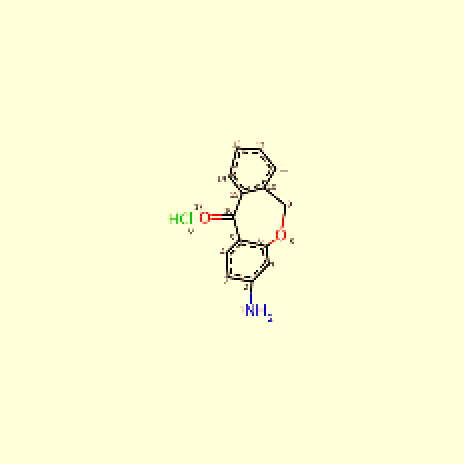 Cl.Nc1ccc2c(c1)OCc1ccccc1C2=O